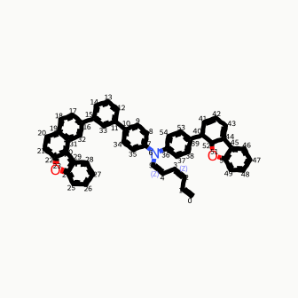 C=C/C=C\C=C/N(c1ccc(-c2cccc(-c3ccc4ccc5oc6ccccc6c5c4c3)c2)cc1)c1ccc(C2C=CC=C3c4ccccc4OC32)cc1